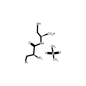 CC(C)C[C@H](N)C(=O)N[C@@H](CO)C(=O)O.CS(C)(=O)=O